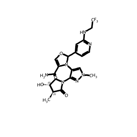 C[C@@H]1C(=O)N(c2nn(C)cc2N2C(C(N)=O)=COC2c2ccnc(NCC(F)(F)F)c2)C[C@H]1O